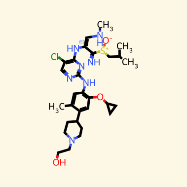 CN/C=C(/Nc1nc(Nc2cc(C)c(C3CCN(CCO)CC3)cc2OC2CC2)ncc1Cl)C(=N)[S+]([O-])CC(C)C